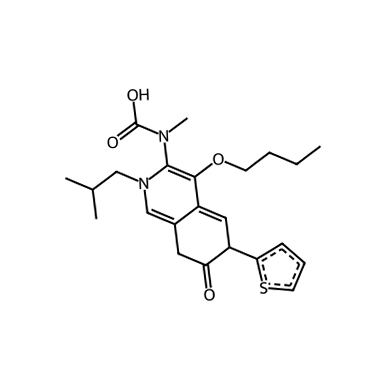 CCCCOC1=C(N(C)C(=O)O)N(CC(C)C)C=C2CC(=O)C(c3cccs3)C=C21